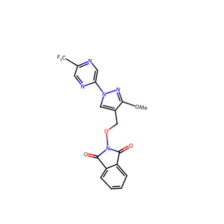 COc1nn(-c2cnc(C(F)(F)F)cn2)cc1CON1C(=O)c2ccccc2C1=O